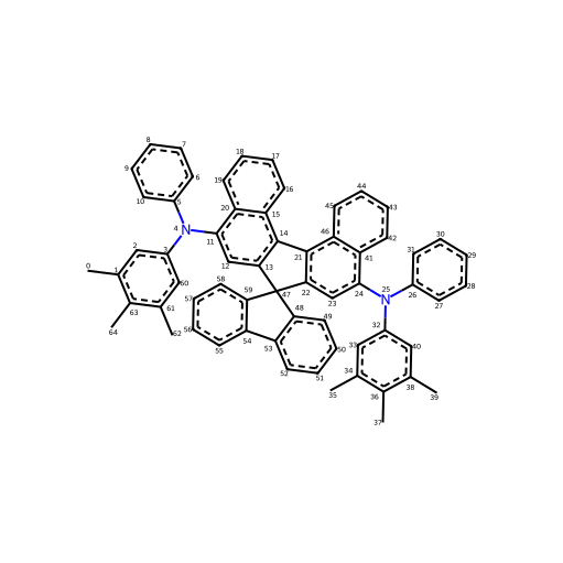 Cc1cc(N(c2ccccc2)c2cc3c(c4ccccc24)-c2c(cc(N(c4ccccc4)c4cc(C)c(C)c(C)c4)c4ccccc24)C32c3ccccc3-c3ccccc32)cc(C)c1C